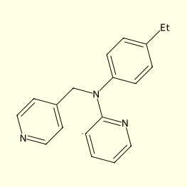 CCc1ccc(N(Cc2ccncc2)c2[c]cccn2)cc1